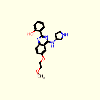 COCCOc1ccc2nc(-c3ccccc3O)nc(N[C@H]3CCNC3)c2c1